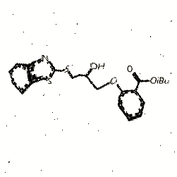 CC(C)COC(=O)c1ccccc1OCC(O)CSc1nc2ccccc2s1